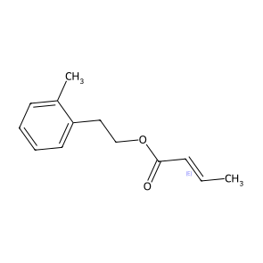 C/C=C/C(=O)OCCc1ccccc1C